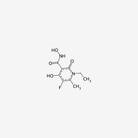 CCn1c(C)c(F)c(O)c(C(=O)NO)c1=O